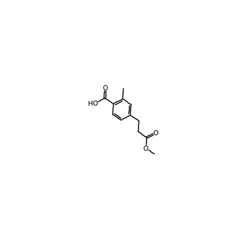 COC(=O)CCc1ccc(C(=O)O)c(C)c1